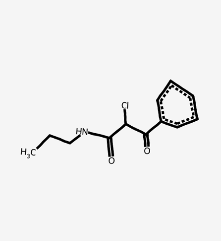 CCCNC(=O)C(Cl)C(=O)c1ccccc1